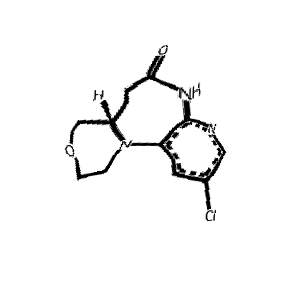 O=C1C[C@H]2COCCN2c2cc(Cl)cnc2N1